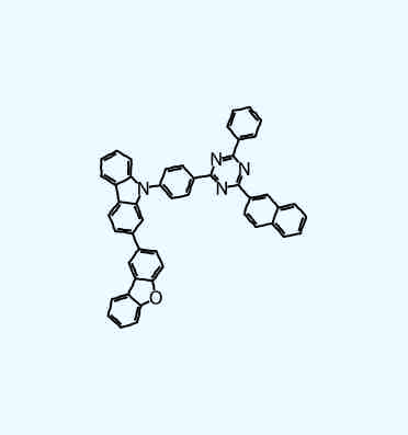 c1ccc(-c2nc(-c3ccc(-n4c5ccccc5c5ccc(-c6ccc7oc8ccccc8c7c6)cc54)cc3)nc(-c3ccc4ccccc4c3)n2)cc1